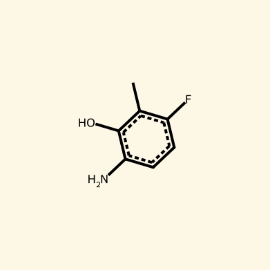 Cc1c(F)ccc(N)c1O